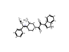 [C-]#[N+]/C(=C1/CCN(C(=O)C(=O)c2c[nH]c3ccccc23)CC1C)c1ccccc1